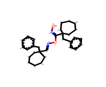 ON=C(ON=CC1(Cc2ccccc2)CCCCCC1)C1(Cc2ccccc2)CCCCCC1